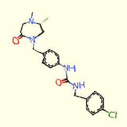 C[C@@H]1CN(Cc2ccc(NC(=O)NCc3ccc(Cl)cc3)cc2)C(=O)CN1C